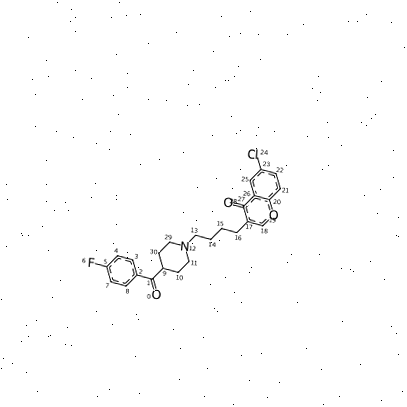 O=C(c1ccc(F)cc1)C1CCN(CCCCc2coc3ccc(Cl)cc3c2=O)CC1